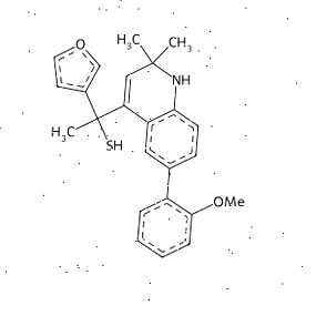 COc1ccccc1-c1ccc2c(c1)C(C(C)(S)c1ccoc1)=CC(C)(C)N2